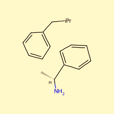 CC(C)Cc1ccccc1.C[C@@H](N)c1ccccc1